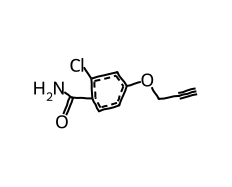 C#CCOc1ccc(C(N)=O)c(Cl)c1